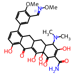 CO/N=C/c1cc(-c2ccc(O)c3c2CC2CC4C(N(C)C)C(O)=C(C(N)=O)C(=O)C4(O)C(O)=C2C3=O)ccc1OC